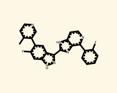 Cc1ccncc1-c1cc2c(-c3nc4c(-c5ccccc5F)nccc4[nH]3)n[nH]c2cc1F